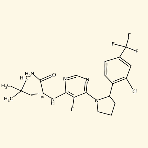 CC(C)(C)C[C@@H](Nc1ncnc(N2CCCC2c2ccc(C(F)(F)F)cc2Cl)c1F)C(N)=O